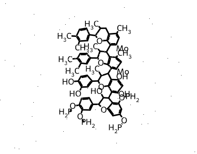 Cc1ccc(C2Oc3c(c(C)c[c]([Mo])c3C3c4c(C)c[c]([Mo])c(C5c6c(O)cc(O)c(C7c8c(OP)cc(OP)cc8OC(c8ccc(OP)c(OP)c8)C7O)c6OC(c6ccc(O)c(O)c6)C5C)c4OC(c4ccc(C)c(C)c4)C3C)CC2C)cc1C